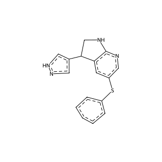 c1ccc(Sc2cnc3c(c2)C(c2cn[nH]c2)CN3)cc1